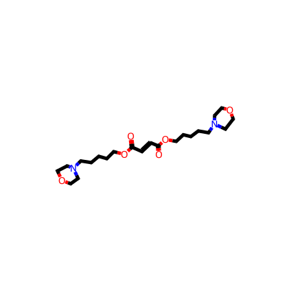 O=C(/C=C/C(=O)OCCCCCN1CCOCC1)OCCCCCN1CCOCC1